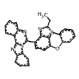 CCc1nc2c(-c3nc4ccccc4c4nc5ccccc5n34)ccc3c2n1-c1ccccc1O3